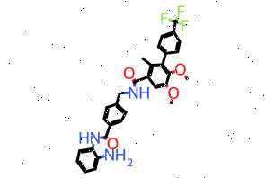 COc1cc(C(=O)NCc2ccc(C(=O)Nc3ccccc3N)cc2)c(C)c(-c2ccc(C(F)(F)F)cc2)c1OC